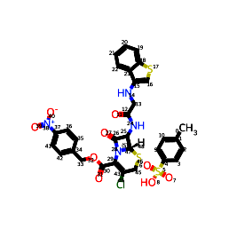 Cc1ccc(S(=O)(=O)O)cc1.O=C(CNc1csc2ccccc12)NC1C(=O)N2C(C(=O)OCc3ccc([N+](=O)[O-])cc3)=C(Cl)CS[C@@H]12